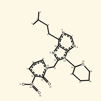 CC(C)CCc1ncnc2c1nc(Cn1cccc([N+](=O)[O-])c1=O)n2C1CCCCO1